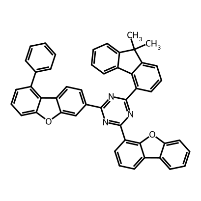 CC1(C)c2ccccc2-c2c(-c3nc(-c4ccc5c(c4)oc4cccc(-c6ccccc6)c45)nc(-c4cccc5c4oc4ccccc45)n3)cccc21